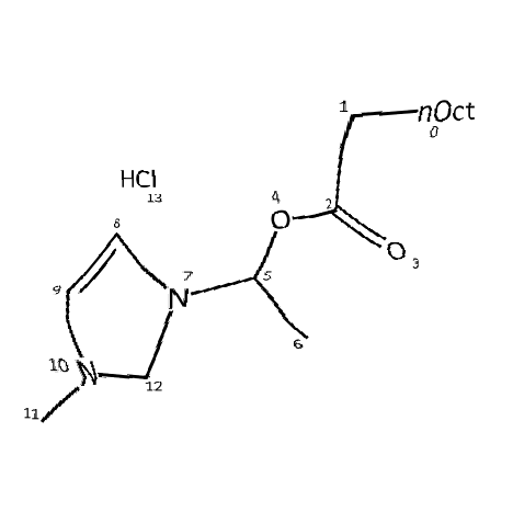 CCCCCCCCCC(=O)OC(C)N1C=CN(C)C1.Cl